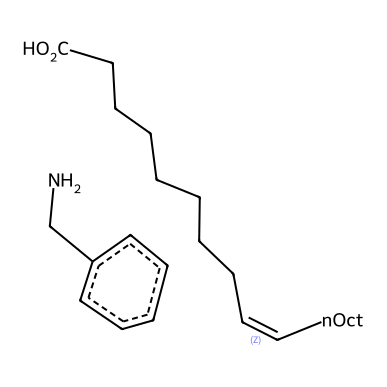 CCCCCCCC/C=C\CCCCCCCC(=O)O.NCc1ccccc1